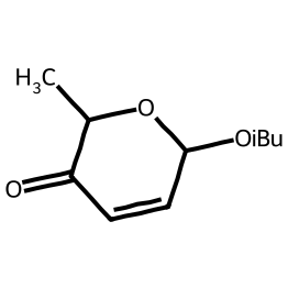 CC(C)COC1C=CC(=O)C(C)O1